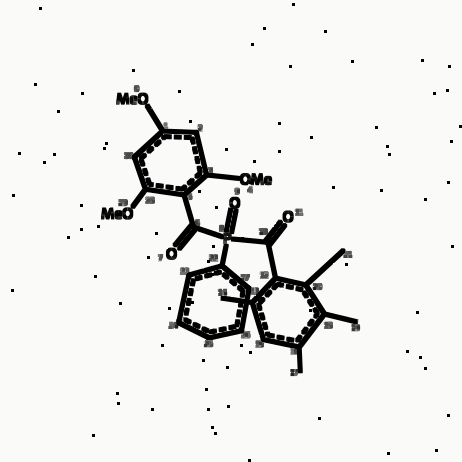 COc1cc(OC)c(C(=O)P(=O)(C(=O)c2c(C)cc(C)c(C)c2C)c2ccccc2)c(OC)c1